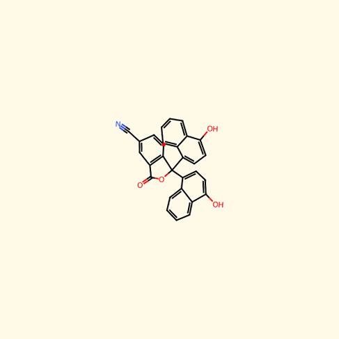 N#Cc1ccc2c(c1)C(=O)OC2(c1ccc(O)c2ccccc12)c1ccc(O)c2ccccc12